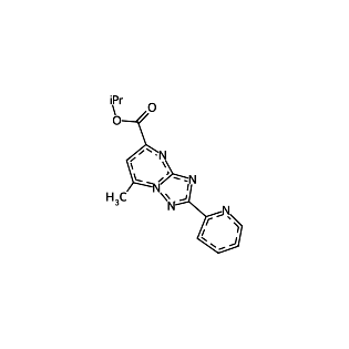 Cc1cc(C(=O)OC(C)C)nc2nc(-c3ccccn3)nn12